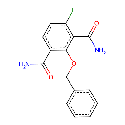 NC(=O)c1ccc(F)c(C(N)=O)c1OCc1ccccc1